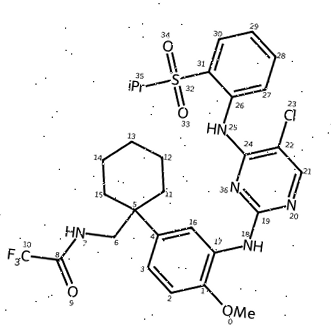 COc1ccc(C2(CNC(=O)C(F)(F)F)CCCCC2)cc1Nc1ncc(Cl)c(Nc2ccccc2S(=O)(=O)C(C)C)n1